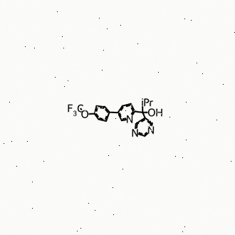 CC(C)C(O)(c1cncnc1)c1ccc(-c2ccc(OC(F)(F)F)cc2)cn1